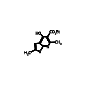 CCOC(=O)c1c(C)nc2sc(C)cc2c1O